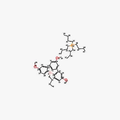 CCCC[B-](c1ccc(OC)cc1)(c1ccc(OC)cc1)c1ccc(OC)cc1.CCCC[P+](CCCC)(CCCC)CCCC